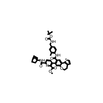 COC(=O)c1nc(C(=O)NC23CCC(CC2)C3)ccc1-c1cc2c(cc1C(=O)Nc1ccc(CNC(=O)OC(C)(C)C)cc1C)-c1sccc1CCO2